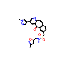 Cc1cc(CNS(=O)(=O)Cc2ccc3ccc4ncc(-c5cnn(C)c5)cc4c(=O)c3c2)on1